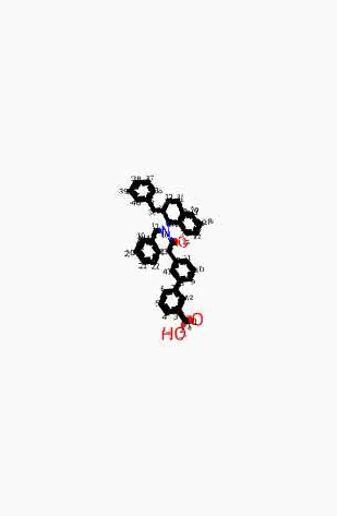 O=C(O)c1cccc(-c2cccc(CC(=O)N(Cc3ccccc3)C3c4ccccc4CCC3Cc3ccccc3)c2)c1